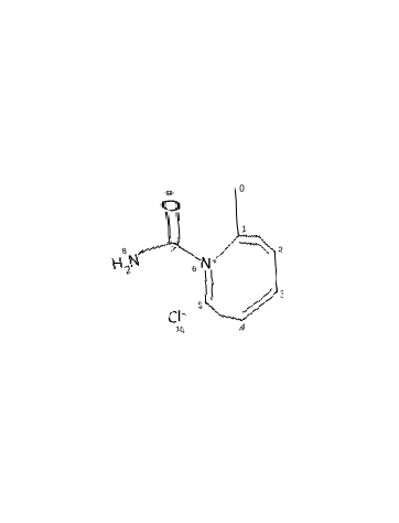 Cc1cccc[n+]1C(N)=O.[Cl-]